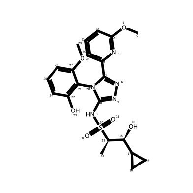 COC1=NC(c2nnc(NS(=O)(=O)[C@H](C)[C@@H](O)C3CC3)n2-c2c(O)cccc2OC)=C=C=C1